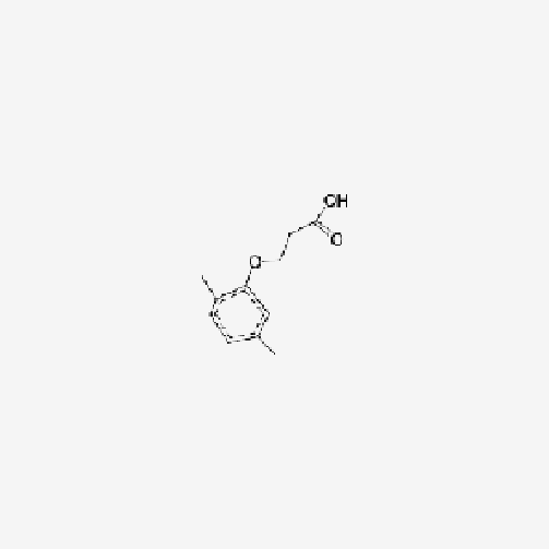 Cc1ccc(C)c(OCCC(=O)O)c1